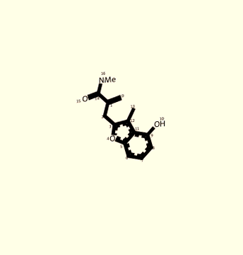 C=C(Cc1oc2cccc(O)c2c1C)C(=O)NC